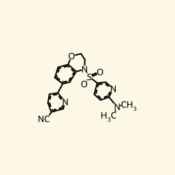 CN(C)c1ccc(S(=O)(=O)N2CCOc3ccc(-c4ccc(C#N)cn4)cc32)cn1